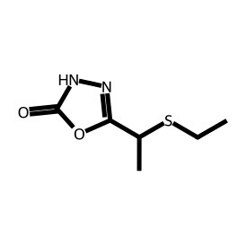 CCSC(C)c1n[nH]c(=O)o1